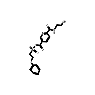 O=C(NS(=O)(=O)CCOc1ccccc1)c1ccc(C(=O)NCCO)nc1